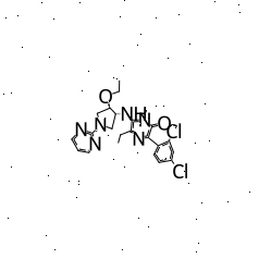 CCO[C@@H]1CN(c2ncccn2)C[C@H]1Nc1c(CC)nc(-c2ccc(Cl)cc2Cl)c(=O)n1C